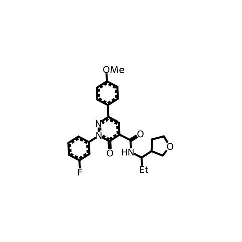 CCC(NC(=O)c1cc(-c2ccc(OC)cc2)nn(-c2cccc(F)c2)c1=O)C1CCOC1